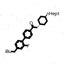 CCCCCCC[C@H]1CC[C@H](CC(=O)c2ccc(-c3ccc(CC(C)CC)cc3F)cc2)CC1